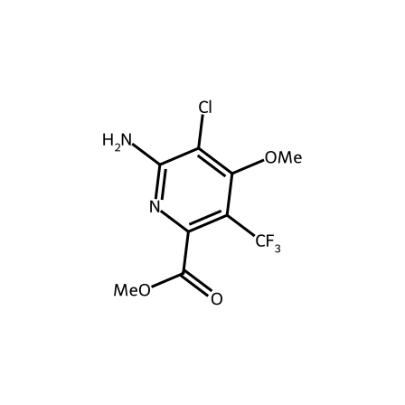 COC(=O)c1nc(N)c(Cl)c(OC)c1C(F)(F)F